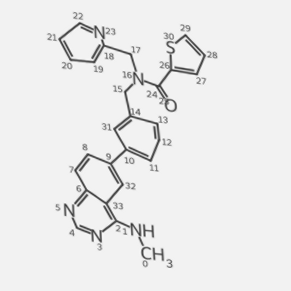 CNc1ncnc2ccc(-c3cccc(CN(Cc4ccccn4)C(=O)c4cccs4)c3)cc12